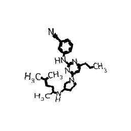 CCCc1cc(N2CCC(NC(C)CCC(C)C)C2)nc(Nc2cccc(C#N)c2)n1